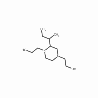 CCC(C)C1CN(CCO)CCN1CCO